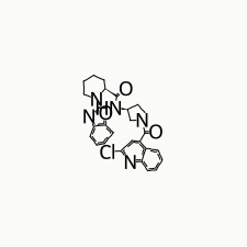 O=C(N[C@H]1CCN(C(=O)c2cc(Cl)nc3ccccc23)C1)[C@@H]1CCCCN1c1nc2ccccc2o1